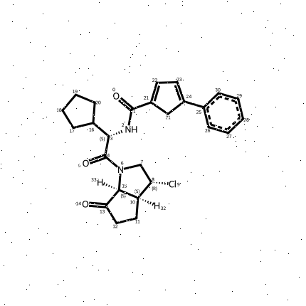 O=C(N[C@H](C(=O)N1C[C@H](Cl)[C@H]2CCC(=O)[C@H]21)C1CCCC1)C1=CC=C(c2ccccc2)C1